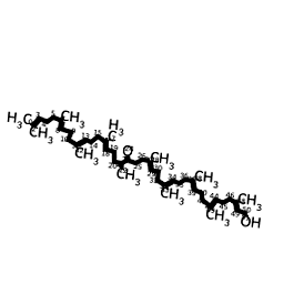 CC(C)=CCCC(C)=CCCC(C)=CCCC(C)=CCCC(C)C(=O)CCC(C)=CCCC(C)=CCCC(C)=CCCC(C)=CCCC(C)=CCO